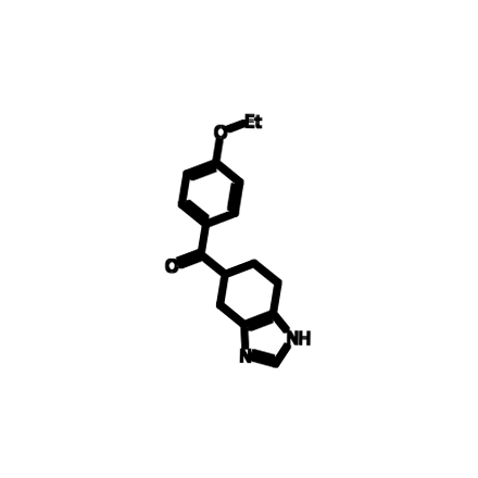 CCOc1ccc(C(=O)C2CCc3[nH]cnc3C2)cc1